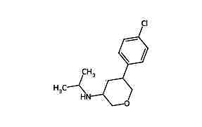 CC(C)NC1[CH]C(c2ccc(Cl)cc2)COC1